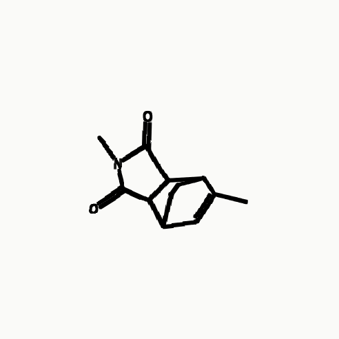 CC1=CC2CCC1C1C(=O)N(C)C(=O)C21